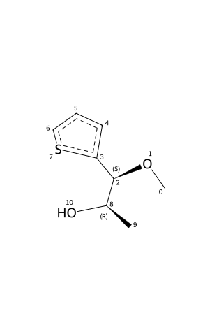 CO[C@H](c1cccs1)[C@@H](C)O